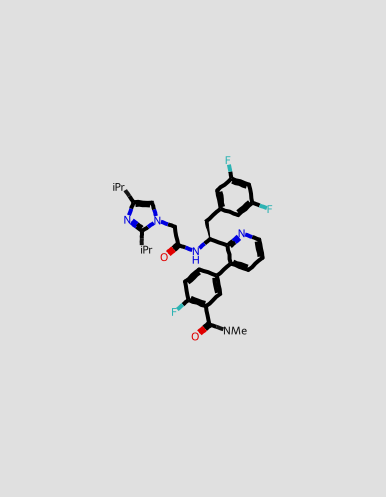 CNC(=O)c1cc(-c2cccnc2[C@H](Cc2cc(F)cc(F)c2)NC(=O)Cn2cc(C(C)C)nc2C(C)C)ccc1F